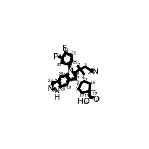 CC(C)(CC#N)c1c([C@H]2CC[C@](C)(C(=O)O)CC2)c2cc3[nH]ncc3cc2n1-c1ccc(F)c(F)c1